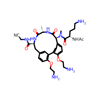 CC(=O)N[C@@H](CCCN)C(=O)N(C)[C@@H]1C(=O)N[C@@H](C)C(=O)N[C@H](C(=O)NCC#N)Cc2ccc(OCCN)c(c2)-c2cc1ccc2OCCN